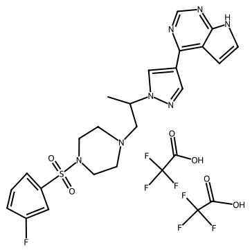 CC(CN1CCN(S(=O)(=O)c2cccc(F)c2)CC1)n1cc(-c2ncnc3[nH]ccc23)cn1.O=C(O)C(F)(F)F.O=C(O)C(F)(F)F